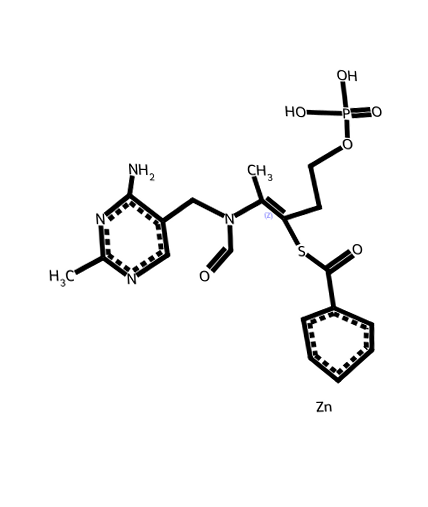 C/C(=C(\CCOP(=O)(O)O)SC(=O)c1ccccc1)N(C=O)Cc1cnc(C)nc1N.[Zn]